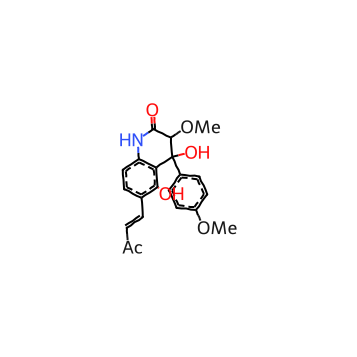 COc1ccc(C2(O)c3c(ccc(/C=C/C(C)=O)c3O)NC(=O)C2OC)cc1